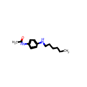 CCCCCCNc1ccc(NC(C)=O)cc1